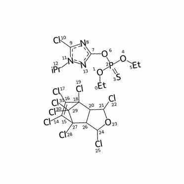 CCOP(=S)(OCC)Oc1nc(Cl)n(C(C)C)n1.ClC1=C(Cl)C2(Cl)C3C(Cl)OC(Cl)C3C1(Cl)C2(Cl)Cl